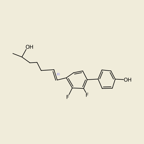 CC(O)CCC/C=C/c1ccc(-c2ccc(O)cc2)c(F)c1F